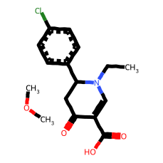 CCN1C=C(C(=O)O)C(=O)CC1c1ccc(Cl)cc1.COC